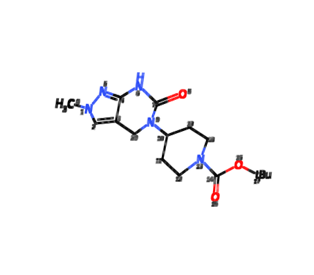 Cn1cc2c(n1)NC(=O)N(C1CCN(C(=O)OC(C)(C)C)CC1)C2